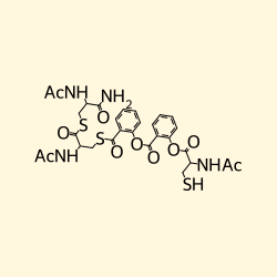 CC(=O)NC(CSC(=O)C(CSC(=O)c1ccccc1OC(=O)c1ccccc1OC(=O)C(CS)NC(C)=O)NC(C)=O)C(N)=O